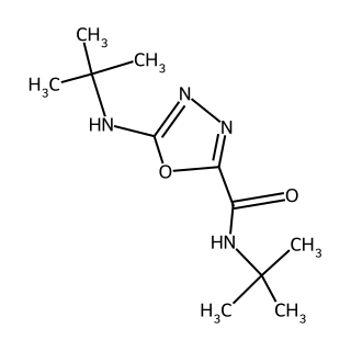 CC(C)(C)NC(=O)c1nnc(NC(C)(C)C)o1